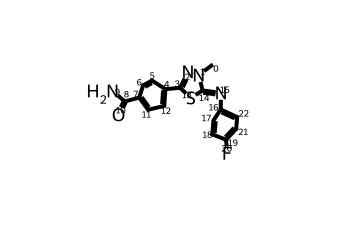 Cn1nc(-c2ccc(C(N)=O)cc2)sc1=Nc1ccc(F)cc1